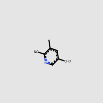 Cc1cc(C=O)cnc1C#N